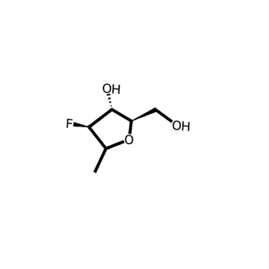 CC1O[C@H](CO)[C@@H](O)[C@@H]1F